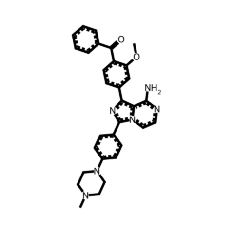 COc1cc(-c2nc(-c3ccc(N4CCN(C)CC4)cc3)n3ccnc(N)c23)ccc1C(=O)c1ccccc1